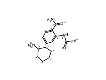 CCCC(=O)Nc1ccccc1C(N)=O.NC1CCCCC1